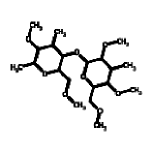 COCC1OC(C)C(OC)C(C)C1OC1OC(COC)C(OC)C(C)C1OC